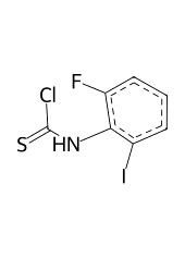 Fc1cccc(I)c1NC(=S)Cl